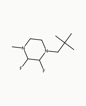 CN1CCN(CC(C)(C)C)C(F)C1F